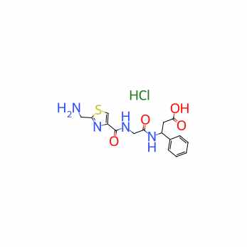 Cl.NCc1nc(C(=O)NCC(=O)NC(CC(=O)O)c2ccccc2)cs1